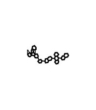 c1ccc(-n2c3ccc(-c4cccc(-c5ccc6cc(-c7c8ccccc8c(-c8ccc9ccccc9c8)c8ccccc78)ccc6c5)c4)cc3c3cccnc32)cc1